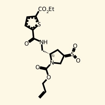 C=CCOC(=O)N1CC(=S(=O)=O)C[C@H]1CNC(=O)c1ccc(C(=O)OCC)s1